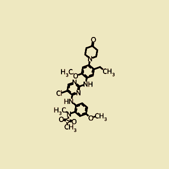 CCc1cc(Nc2ncc(Cl)c(Nc3ccc(OC)cc3N(C)S(C)(=O)=O)n2)c(OC)cc1N1CCC(=O)CC1